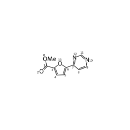 COC(=O)c1ccc(-c2ccncn2)o1